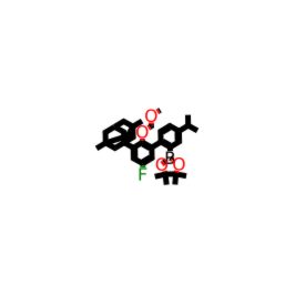 COCOc1c(-c2ccc(C(C)C)cc2B2OC(C)(C)C(C)(C)O2)cc(F)cc1C12CC3CC(C)(CC(C)(C3)C1)C2